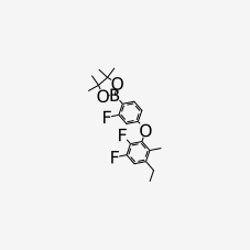 CCc1cc(F)c(F)c(Oc2ccc(B3OC(C)(C)C(C)(C)O3)c(F)c2)c1C